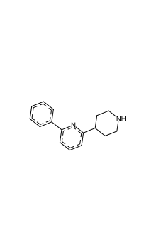 c1ccc(-c2cccc(C3CCNCC3)n2)cc1